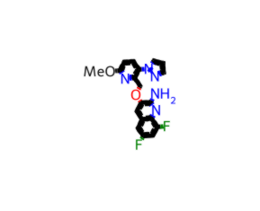 COc1ccc(-n2cccn2)c(COc2cc3cc(F)cc(F)c3nc2N)n1